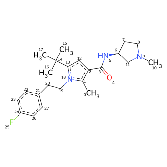 Cc1c(C(=O)N[C@H]2CCN(C)C2)cc(C(C)(C)C)n1CCc1ccc(F)cc1